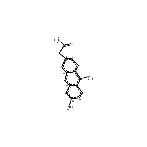 NC(=O)Cc1ccc2c(N)c3ccc(N)cc3nc2c1